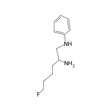 NC(CCCCF)CNc1ccccc1